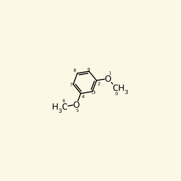 COc1[c]c(OC)ccc1